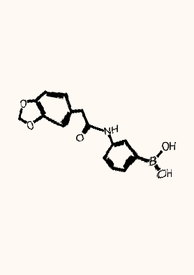 O=C(Cc1ccc2c(c1)OCO2)Nc1cccc(B(O)O)c1